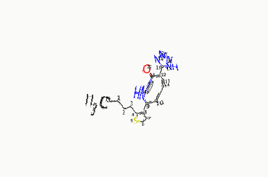 CCCCc1sccc1-c1ccc(-c2nnn[nH]2)c(=O)[nH]1